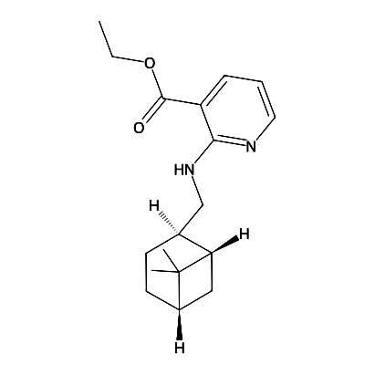 CCOC(=O)c1cccnc1NC[C@@H]1CC[C@H]2C[C@@H]1C2(C)C